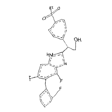 CCS(=O)(=O)c1ccc(C(CO)c2nc3c(F)c(-c4ccccc4F)c(F)cc3[nH]2)cc1